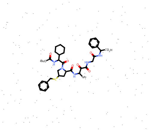 CCCC(NC(=O)C1CC(SCc2ccccc2)CN1C(=O)C(NC(=O)OCC(C)C)C1CCCCC1)C(=O)C(=O)NCC(=O)NC(C(=O)O)c1ccccc1